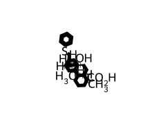 C[C@@]12CCC[C@@](C)(C(=O)O)[C@H]1CC[C@@]13CC[C@@H](C[C@@H]21)[C@H](CSc1ccccc1)[C@H]3O